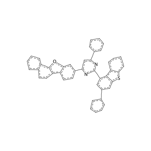 c1ccc(-c2cc(-c3nc(-c4ccccc4)cc(-c4ccc5c(c4)oc4c6ccccc6ccc54)n3)c3c(c2)sc2ccccc23)cc1